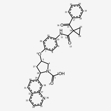 O=C(O)N1CC(Oc2ccc(NC(=O)C3(C(=O)c4ccccc4)CC3)cc2)CC1c1ccc2cccnc2c1